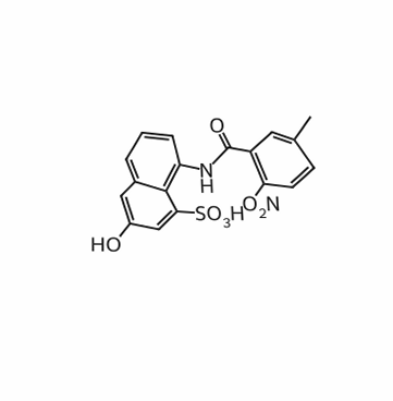 Cc1ccc([N+](=O)[O-])c(C(=O)Nc2cccc3cc(O)cc(S(=O)(=O)O)c23)c1